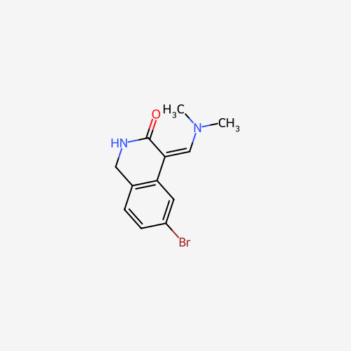 CN(C)C=C1C(=O)NCc2ccc(Br)cc21